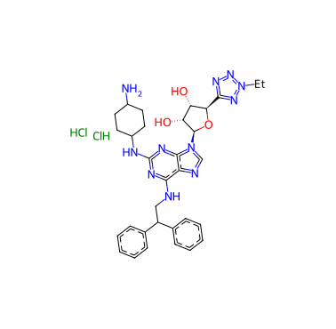 CCn1nnc([C@H]2O[C@@H](n3cnc4c(NCC(c5ccccc5)c5ccccc5)nc(NC5CCC(N)CC5)nc43)[C@H](O)[C@@H]2O)n1.Cl.Cl